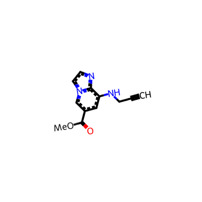 C#CCNc1cc(C(=O)OC)cn2ccnc12